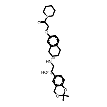 CC1(C)OCc2cc([C@H](O)CN[C@H]3CCc4ccc(OCC(=O)N5CCCCC5)cc4C3)ccc2O1